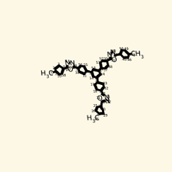 Cc1ccc(-c2nnc(-c3ccc(-c4cc(-c5ccc(-c6nnc(-c7ccc(C)cc7)o6)cc5)cc(-c5ccc(-c6nnc(-c7ccc(C)cc7)o6)cc5)c4)cc3)o2)cc1